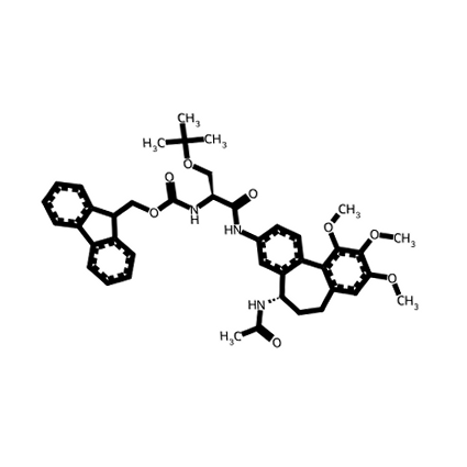 COc1cc2c(c(OC)c1OC)-c1ccc(NC(=O)[C@H](COC(C)(C)C)NC(=O)OCC3c4ccccc4-c4ccccc43)cc1[C@@H](NC(C)=O)CC2